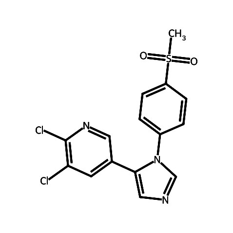 CS(=O)(=O)c1ccc(-n2cncc2-c2cnc(Cl)c(Cl)c2)cc1